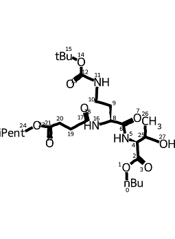 CCCCOC(=O)[C@@H](NC(=O)[C@H](CCNC(=O)OC(C)(C)C)NC(=O)CCC(=O)OC(C)CCC)C(C)O